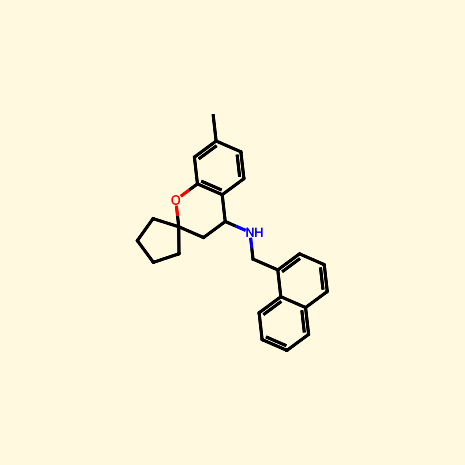 Cc1ccc2c(c1)OC1(CCCC1)CC2NCc1cccc2ccccc12